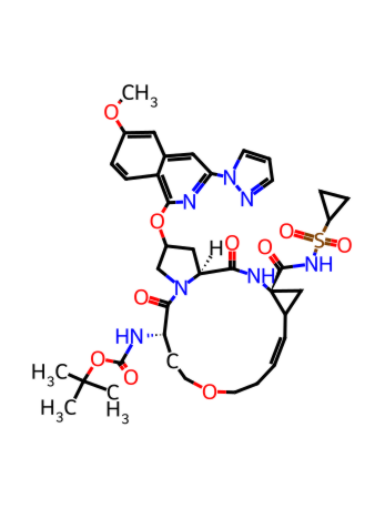 COc1ccc2c(OC3C[C@H]4C(=O)N[C@]5(C(=O)NS(=O)(=O)C6CC6)CC5/C=C\CCOCC[C@H](NC(=O)OC(C)(C)C)C(=O)N4C3)nc(-n3cccn3)cc2c1